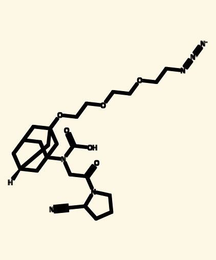 N#CC1CCCN1C(=O)CN(C(=O)O)C12CC3C[C@H](CC(OCCOCCOCCN=[N+]=[N-])(C3)C1)C2